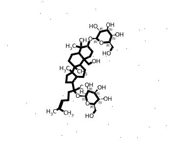 CC(C)=CCCC(C)(O[C@@H]1O[C@H](CO)[C@@H](O)[C@H](O)[C@H]1O)C1CCC2(C)C1CCC1C3(CO)CCC(O[C@@H]4O[C@H](CO)[C@@H](O)[C@H](O)[C@H]4O)C(C)(C)C3CCC12C